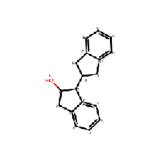 OC1Cc2ccccc2C1C1Cc2ccccc2C1